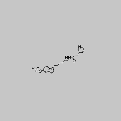 COc1ccc2c(ccn2CCCCCCNC(=O)CCc2cccnc2)c1